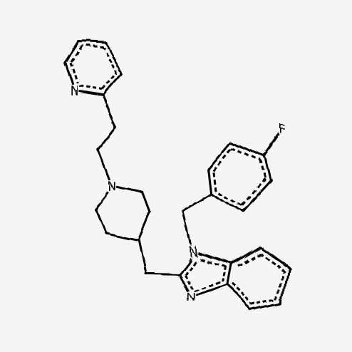 Fc1ccc(Cn2c(CC3CCN(CCc4ccccn4)CC3)nc3ccccc32)cc1